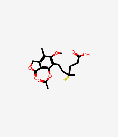 COc1c(C)c2c(c(OC(C)=O)c1CCC(C)(S)CCC(=O)O)C(=O)OC2